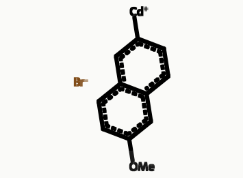 COc1ccc2c[c]([Cd+])ccc2c1.[Br-]